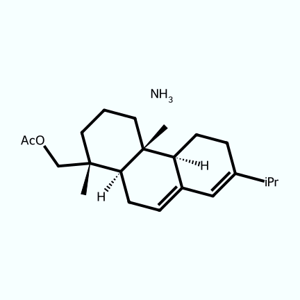 CC(=O)OC[C@]1(C)CCC[C@]2(C)[C@H]3CCC(C(C)C)=CC3=CC[C@@H]12.N